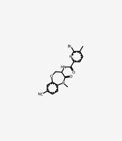 Cc1ccc(C(=O)NC2COc3cc(C#N)ccc3N(C)C2=O)nc1Br